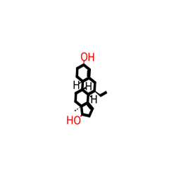 CC[C@@H]1CC2=C[C@@H](O)CC[C@@H]2[C@H]2CC[C@@]3(C)C(=CC[C@@H]3O)[C@H]12